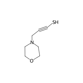 SC#CCN1CCOCC1